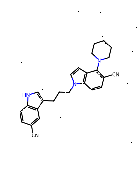 N#Cc1ccc2[nH]cc(CCCn3ccc4c(N5CCCCC5)c(C#N)ccc43)c2c1